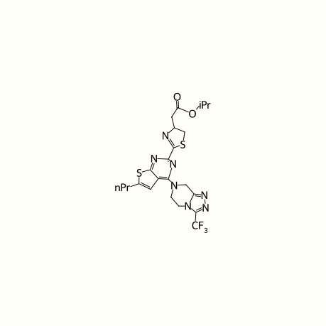 CCCc1cc2c(N3CCn4c(nnc4C(F)(F)F)C3)nc(C3=NC(CC(=O)OC(C)C)CS3)nc2s1